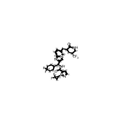 O=C(N[C@H](c1cn2nc(CC3C[C@@H](C(F)(F)F)CNC3=O)ccc2n1)C1CCC(F)(F)CC1)c1ccnn1C1CC1(F)F